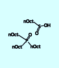 CCCCCCCCP(=O)(CCCCCCCC)CCCCCCCC.CCCCCCCCS(=O)O